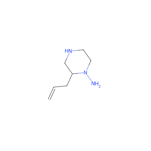 C=CCC1CNCCN1N